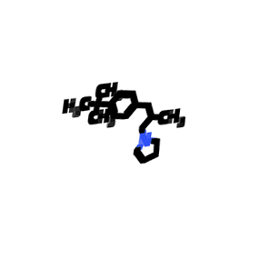 CC(Cc1ccc(C(C)(C)C)cc1)CN1CCCC1